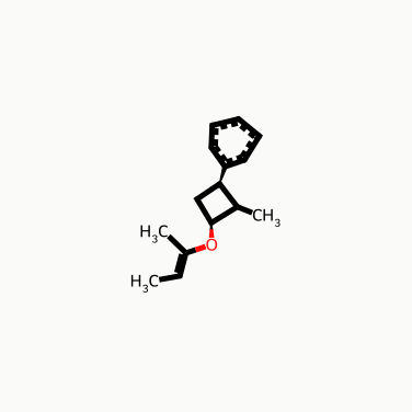 C/C=C(\C)O[C@H]1C[C@@H](c2ccccc2)C1C